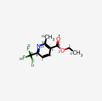 CCOC(=O)c1ccc(C(F)(F)F)nc1C